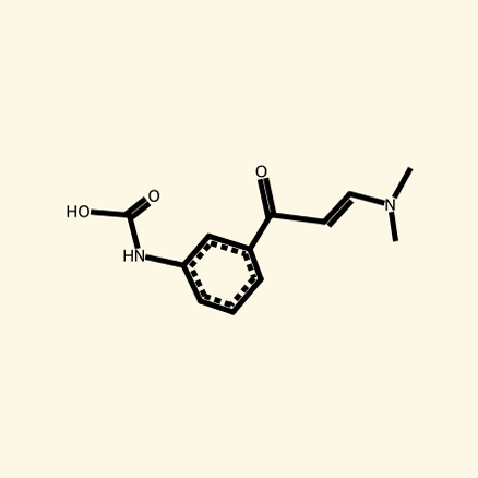 CN(C)/C=C/C(=O)c1cccc(NC(=O)O)c1